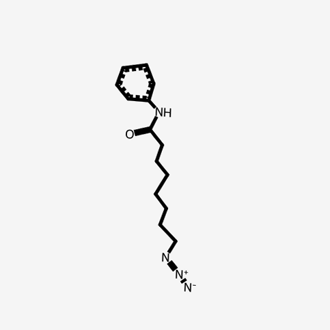 [N-]=[N+]=NCCCCCCCC(=O)Nc1ccccc1